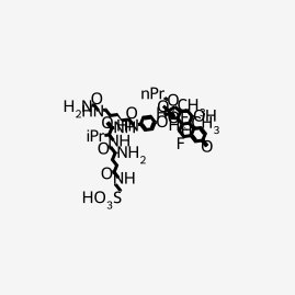 CCCC1O[C@@H]2C[C@H]3[C@@H]4C[C@H](F)C5=CC(=O)C=C[C@]5(C)[C@@]4(F)[C@@H](O)C[C@]3(C)[C@]2(C(=O)COc2ccc(NC(=O)[C@H](CCCNC(N)=O)NC(=O)C(NC(=O)[C@H](N)CCC(=O)NCCS(=O)(=O)O)C(C)C)cc2)O1